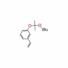 C=Cc1cccc(OC(C)(C)OC(C)(C)C)c1